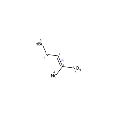 CCCCS/C=C(\C#N)[N+](=O)[O-]